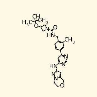 Cc1cc(-c2cc(Nc3cc4n(n3)CCOC4)ncn2)ccc1CNC(=O)N1CC(OC(C)(C)C)C1